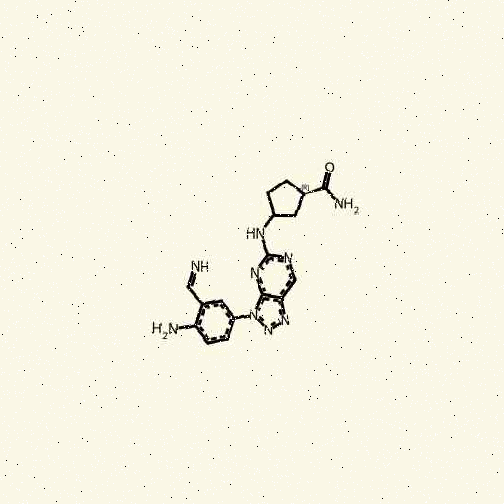 N=Cc1cc(-n2nnc3cnc(NC4CC[C@@H](C(N)=O)C4)nc32)ccc1N